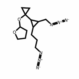 [N-]=[N+]=NCCCC1C(CN=[N+]=[N-])C1C1(OC2CCCO2)CC1